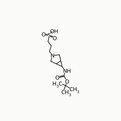 CC(C)(C)OC(=O)NC1C2CN(CCCS(=O)(=O)O)CC21